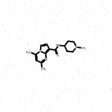 Cc1cc(C)n2ccc(C(=O)NC3CCN(C)CC3)c2n1